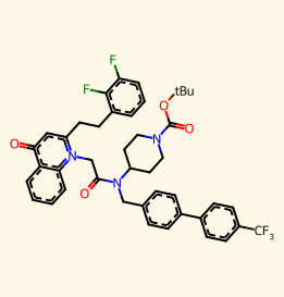 CC(C)(C)OC(=O)N1CCC(N(Cc2ccc(-c3ccc(C(F)(F)F)cc3)cc2)C(=O)Cn2c(CCc3cccc(F)c3F)cc(=O)c3ccccc32)CC1